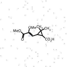 COC(=O)/C(=C/C1C(C(=O)O)C1(C)C)OC